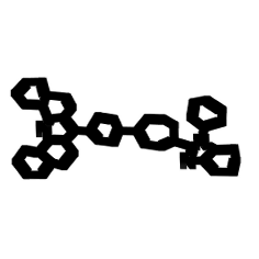 C1=CC(c2ccc(-c3c4ccc5ccccc5c4nc4c3ccc3ccccc34)cc2)=CC=C(c2nc3ccccc3n2-c2ccccc2)C1